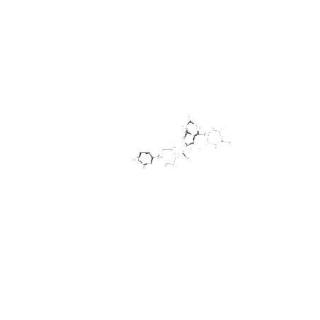 Cc1nc(N2CCC(C)CC2)c2c(C)c(C(=O)N3CCN(c4ccc(F)cc4)CC3)sc2n1